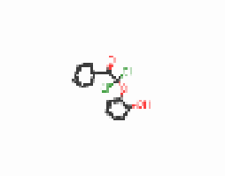 O=C(c1ccccc1)C(Cl)(Cl)Oc1ccccc1O